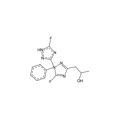 CC(O)CC1=N[N+](c2ccccc2)(c2n[nH]c(F)n2)C(F)=N1